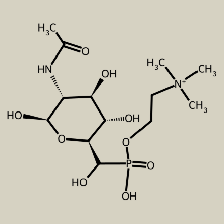 CC(=O)N[C@@H]1[C@@H](O)[C@H](O)[C@@H](C(O)P(=O)(O)OCC[N+](C)(C)C)O[C@H]1O